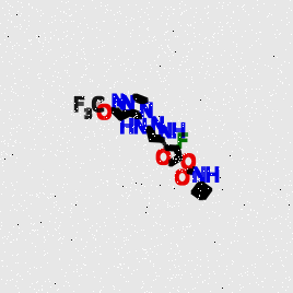 O=C(NC12CC(C1)C2)O[C@@H]1CO[C@H](c2cc(Nc3nccn4nc(OC(F)(F)F)cc34)n[nH]2)[C@@H]1F